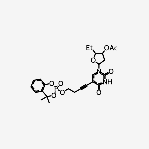 CCC1OC(n2cc(C#CCCOP3(=O)Oc4ccccc4C(C)(C)O3)c(=O)[nH]c2=O)CC1OC(C)=O